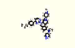 CCN(c1ccncc1)c1ccc(CN(c2nccc(-c3ccc(C(F)(F)F)cc3)n2)[C@H]2CCCN(C3CCN(C)CC3)C2)cc1